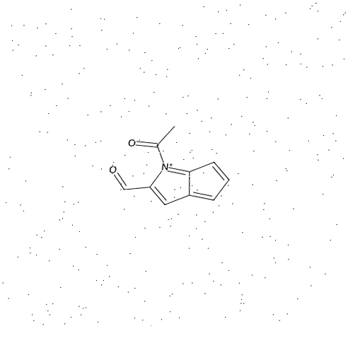 CC(=O)[N+]1=C2C=CC=C2C=C1[C]=O